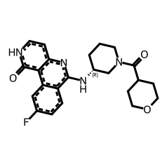 O=C(C1CCOCC1)N1CCC[C@@H](Nc2nc3cc[nH]c(=O)c3c3cc(F)ccc23)C1